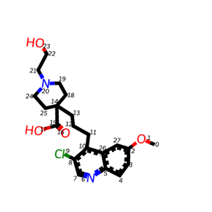 COc1ccc2ncc(Cl)c(CCCC3(C(=O)O)CCN(CCO)CC3)c2c1